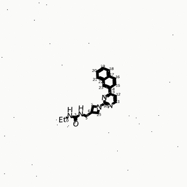 CCNC(=O)NCC1CN(c2nccc(-c3ccc4ccccc4c3)n2)C1